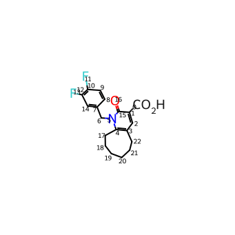 O=C(O)c1cc2c(n(Cc3ccc(F)c(F)c3)c1=O)CCCCCC2